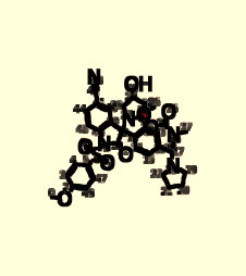 COc1ccc(S(=O)(=O)N2C(=O)C(c3ccc(CN4CCCC4)cc3OC)(N3C[C@H](O)C[C@@H]3OC(=O)N(C)C)c3cc(C#N)ccc32)cc1